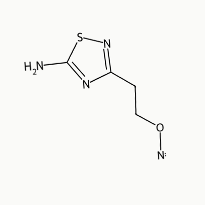 [N]OCCc1nsc(N)n1